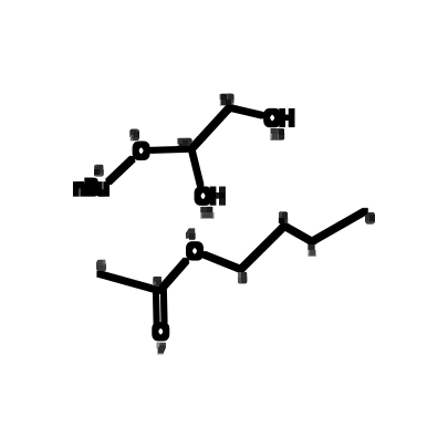 CCCCOC(C)=O.CCCCOC(O)CO